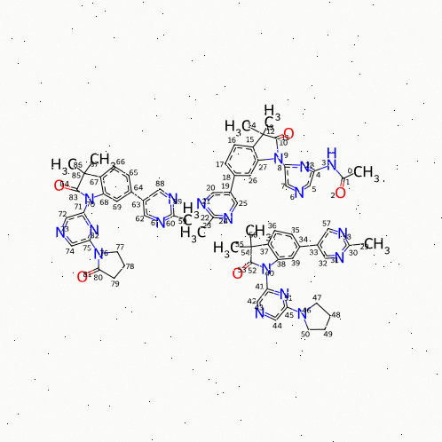 CC(=O)Nc1cncc(N2C(=O)C(C)(C)c3ccc(-c4cnc(C)nc4)cc32)n1.Cc1ncc(-c2ccc3c(c2)N(c2cncc(N4CCCC4)n2)C(=O)C3(C)C)cn1.Cc1ncc(-c2ccc3c(c2)N(c2cncc(N4CCCC4=O)n2)C(=O)C3(C)C)cn1